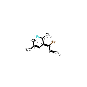 C=C/C(Br)=C(\C=C(C)C)C(C)F